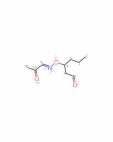 CCCC(CC=O)O/N=C/C(C)=O